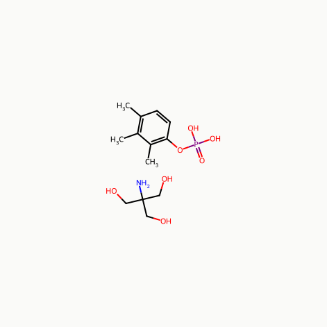 Cc1ccc(OP(=O)(O)O)c(C)c1C.NC(CO)(CO)CO